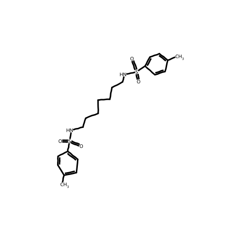 Cc1ccc(S(=O)(=O)NCCCCCCCNS(=O)(=O)c2ccc(C)cc2)cc1